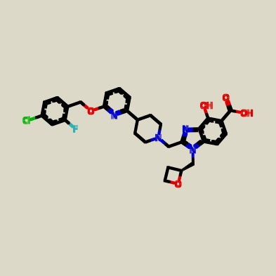 O=C(O)c1ccc2c(nc(CN3CCC(c4cccc(OCc5ccc(Cl)cc5F)n4)CC3)n2C[C@@H]2CCO2)c1O